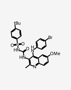 COc1ccc2nc(C)c(NC(=O)NS(=O)(=O)c3ccc(C(C)(C)C)cc3)c(Nc3ccc(Br)cc3)c2c1